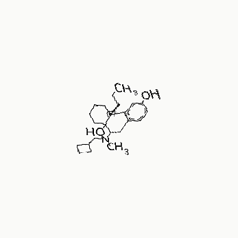 CCC[C@]12CCCCC1(O)C(N(C)CC1CCC1)Cc1ccc(O)cc12